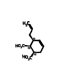 C=CC[C@H]1C=CC[C@@H](C(=O)O)[C@H]1C(=O)O